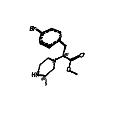 COC(=O)[C@H](Cc1ccc(Br)cc1)N1CCN[C@@H](C)C1